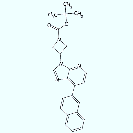 CC(C)(C)OC(=O)N1CC(n2cnc3c(-c4ccc5ccccc5c4)ccnc32)C1